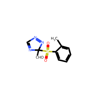 Cc1ccccc1S(=O)(=O)C1(C=O)N=CN=N1